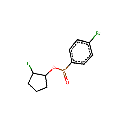 O=S(OC1CCCC1F)c1ccc(Br)cc1